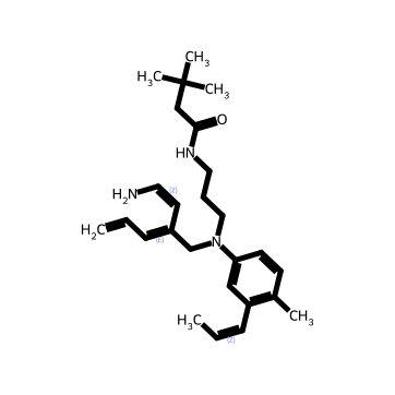 C=C/C=C(\C=C/N)CN(CCCNC(=O)CC(C)(C)C)c1ccc(C)c(/C=C\C)c1